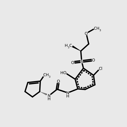 COC[C@H](C)S(=O)(=O)c1c(Cl)ccc(NC(=O)N[C@@H]2CCC=C2C)c1O